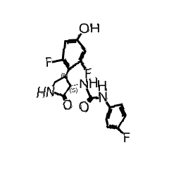 O=C(Nc1ccc(F)cc1)N[C@@H]1C(=O)NC[C@H]1c1c(F)cc(O)cc1F